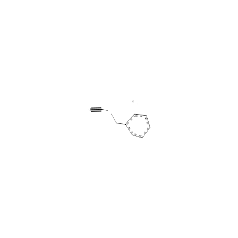 N.N#CSCc1ccccc1